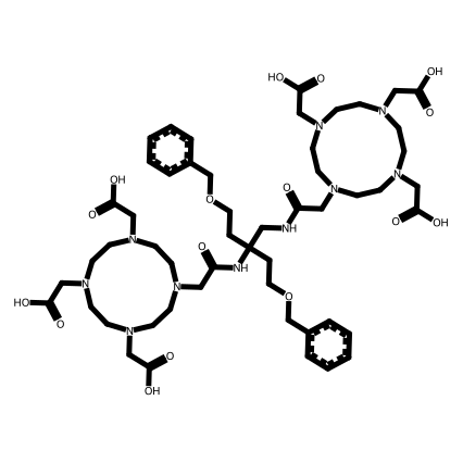 O=C(O)CN1CCN(CC(=O)O)CCN(CC(=O)NCC(CCOCc2ccccc2)(CCOCc2ccccc2)NC(=O)CN2CCN(CC(=O)O)CCN(CC(=O)O)CCN(CC(=O)O)CC2)CCN(CC(=O)O)CC1